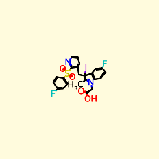 CC1N(CC(=O)O)c2ccc(F)cc2C1(I)Cc1cccnc1S(=O)(=O)c1ccc(F)cc1